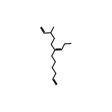 C=CCCCCC(=CCC)CCC(C)C=C